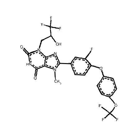 Cn1c(-c2ccc(Oc3ccc(OC(F)(F)F)cc3)c(F)c2)nc2c1c(=O)[nH]c(=O)n2CC(O)C(F)(F)F